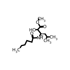 CCCCCC(=O)N[C@H](CC(C)C)C(O)C(=O)OC